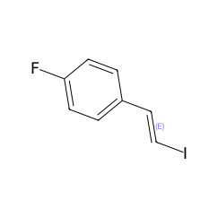 Fc1ccc(/C=C/I)cc1